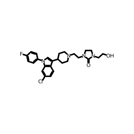 O=C1N(CCO)CCN1CCN1CCC(c2cn(-c3ccc(F)cc3)c3cc(Cl)ccc23)CC1